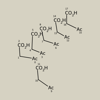 CC(=O)CC(=O)O.CC(=O)CC(=O)O.CC(=O)CC(=O)O.CC(=O)CC(=O)O.CC(=O)CC(=O)O.CC(=O)CC(=O)O